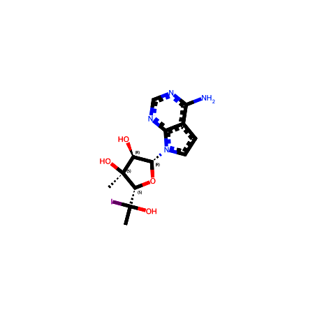 CC(O)(I)[C@H]1O[C@@H](n2ccc3c(N)ncnc32)[C@H](O)[C@]1(C)O